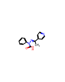 C/C(=N\N(C(=O)O)c1ccccc1)c1ccncc1